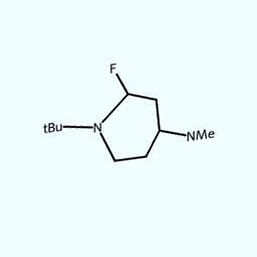 CNC1CCN(C(C)(C)C)C(F)C1